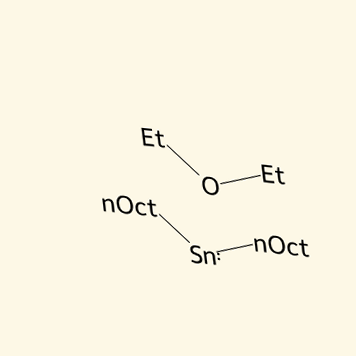 CCCCCCC[CH2][Sn][CH2]CCCCCCC.CCOCC